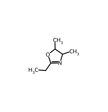 CCC1=NC(C)C(C)O1